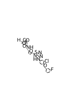 CS(=O)(=O)CC(=O)NCc1ccc(-c2nc3c(Nc4ccc(OCc5cccc(F)c5)c(Cl)c4)ncnc3s2)o1